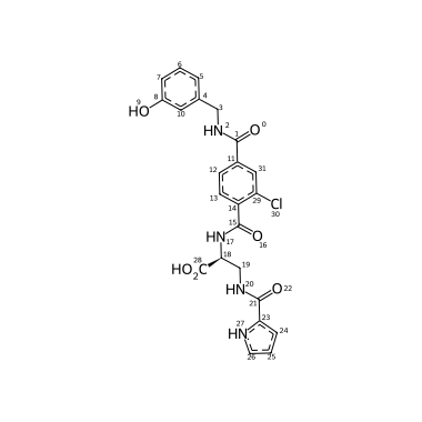 O=C(NCc1cccc(O)c1)c1ccc(C(=O)N[C@@H](CNC(=O)c2ccc[nH]2)C(=O)O)c(Cl)c1